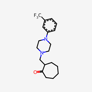 O=C1CCCCCC1CN1CCN(c2cccc(C(F)(F)F)c2)CC1